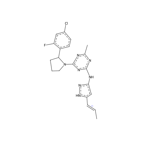 C/C=C/c1cc(Nc2nc(C)nc(N3CCCC3c3ccc(Cl)cc3F)n2)n[nH]1